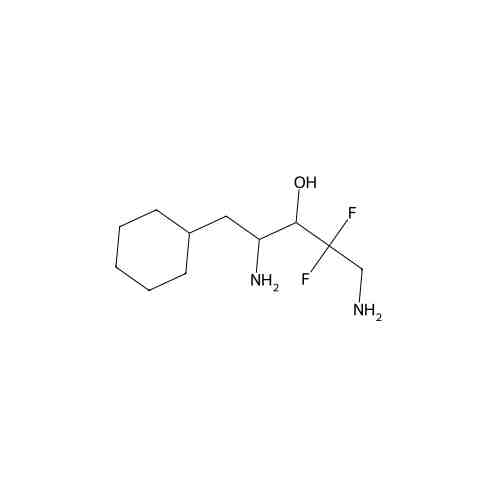 NCC(F)(F)C(O)C(N)CC1CCCCC1